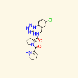 O=C(NCc1cc(Cl)ccc1-n1cnnn1)[C@@H]1CCCN1C(=O)[C@H]1CCCCN1